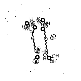 CC(=O)O.CC1(C)OCc2cc([C@@H]3CN(CCCCCCOCCC#Cc4cccc(S(=O)(=O)Nc5cccc(S(N)(=O)=O)c5)c4)C(=O)O3)ccc2O1.NS(=O)(=O)c1cccc(NS(=O)(=O)c2cccc(CCCCOCCCCCCNC[C@H](O)c3ccc(O)c(CO)c3)c2)c1